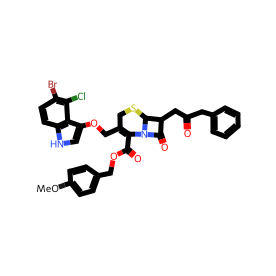 COc1ccc(COC(=O)C2=C(COc3c[nH]c4ccc(Br)c(Cl)c34)CSC3C(CC(=O)Cc4ccccc4)C(=O)N23)cc1